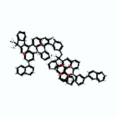 CC1(Cc2ccc3oc4cccc(-c5ccccc5N(c5cccc(-c6cccc7ccccc67)c5)c5ccccc5-c5cccc6c5-c5ccccc5C6(C)C)c4c3c2)C2=C(c3ccccc31)C(c1ccccc1N(c1cccc(-c3ccc4ccccc4c3)c1)c1ccccc1-c1cccc3oc4ccccc4c13)CC=C2